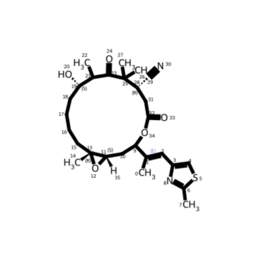 C/C(=C\c1csc(C)n1)C1C[C@@H]2O[C@]2(C)CCCC[C@H](O)C(C)C(=O)C(C)(C)[C@H](C#N)CC(=O)O1